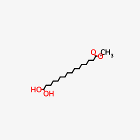 COC(=O)CCCCCCCCCCCCCCC(O)O